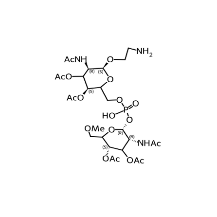 COCC1O[C@H](OP(=O)(O)OCC2O[C@H](OCCN)[C@H](NC(C)=O)C(OC(C)=O)[C@@H]2OC(C)=O)[C@H](NC(C)=O)C(OC(C)=O)[C@@H]1OC(C)=O